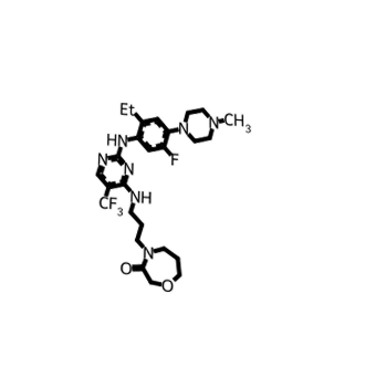 CCc1cc(N2CCN(C)CC2)c(F)cc1Nc1ncc(C(F)(F)F)c(NCCCN2CCCOCC2=O)n1